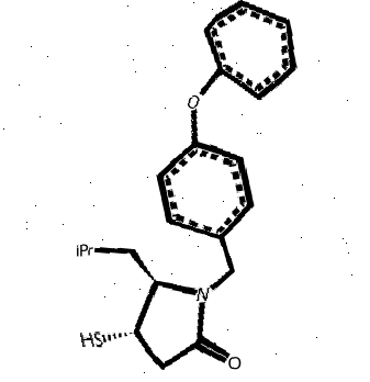 CC(C)C[C@@H]1[C@@H](S)CC(=O)N1Cc1ccc(Oc2ccccc2)cc1